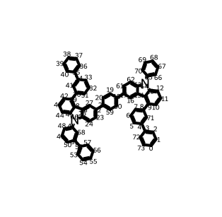 c1ccc(-c2cccc(-c3cccc4c3c3cc(-c5ccc(-c6ccc7c(c6)c6c(-c8cccc(-c9ccccc9)c8)cccc6n7-c6cccc(-c7ccccc7)c6)cc5)ccc3n4-c3ccccc3)c2)cc1